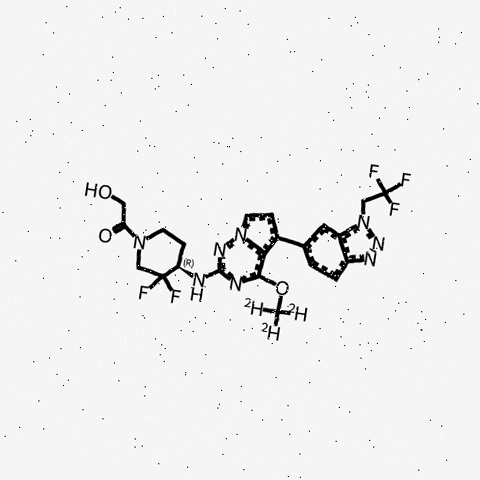 [2H]C([2H])([2H])Oc1nc(N[C@@H]2CCN(C(=O)CO)CC2(F)F)nn2ccc(-c3ccc4nnn(CC(F)(F)F)c4c3)c12